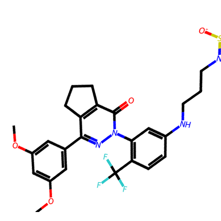 COc1cc(OC)cc(-c2nn(-c3cc(NCCCN[S+](C)[O-])ccc3C(F)(F)F)c(=O)c3c2CCC3)c1